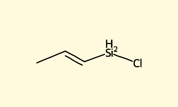 CC=C[SiH2]Cl